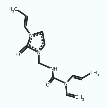 C=CN(/C=C/C)C(=O)NCn1ccn(/C=C/C)c1=O